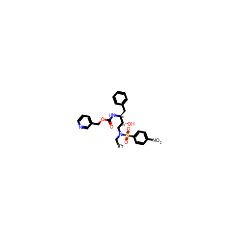 CC(C)CN(C[C@@H](O)[C@H](Cc1ccccc1)NC(=O)OCc1cccnc1)S(=O)(=O)c1ccc([N+](=O)[O-])cc1